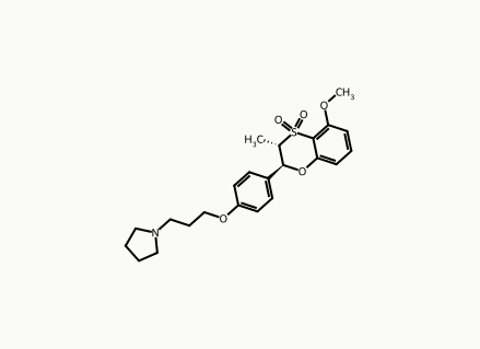 COc1cccc2c1S(=O)(=O)[C@@H](C)[C@H](c1ccc(OCCCN3CCCC3)cc1)O2